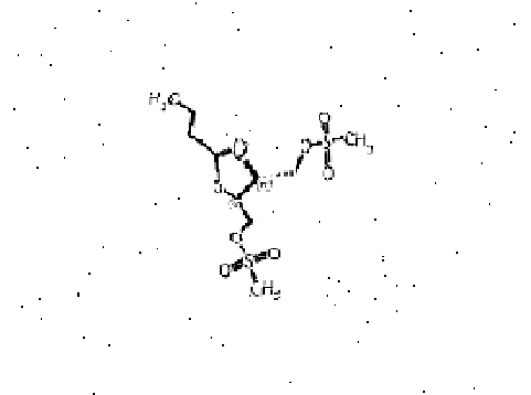 CCCC1O[C@H](COS(C)(=O)=O)[C@@H](COS(C)(=O)=O)O1